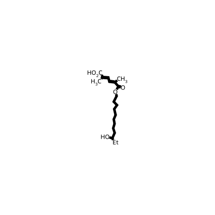 CCC(O)CCCCCCCCCOC(=O)C(C)=CC=C(C)C(=O)O